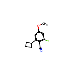 COc1cc(F)c(C#N)c(C2CCC2)c1